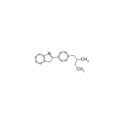 CCC(C)Cc1ccc(C2=Nc3ccccc3C2)cc1